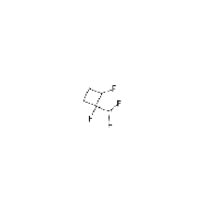 F[C](F)C1(F)CCC1F